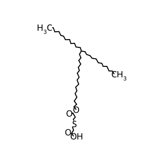 CCCCCCCCCCCCC(CCCCCCCCCCCC)CCCCCCCCCCCCCCCCCOC(=O)CCSCCC(=O)O